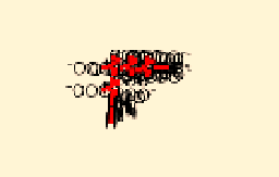 O=C([O-])CN(CCN(CC(=O)[O-])CC(=O)[O-])CCN(CC(=O)[O-])CC(=O)[O-].O=C([O-])CN(CCN(CC(=O)[O-])CC(=O)[O-])CCN(CC(=O)[O-])CC(=O)[O-].O=C([O-])CN(CCN(CC(=O)[O-])CC(=O)[O-])CCN(CC(=O)[O-])CC(=O)[O-].O=C([O-])CN(CCN(CC(=O)[O-])CC(=O)[O-])CCN(CC(=O)[O-])CC(=O)[O-].[Fe+3].[Fe+3].[Fe+3].[Fe+3].[Fe+3].[Fe+3].[Fe+3].[H-].[H-].[H-].[H-].[H-].[H-].[H-].[H-].[NH4+].[NH4+].[NH4+].[NH4+].[NH4+].[NH4+].[NH4+]